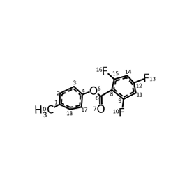 Cc1ccc(OC(=O)c2c(F)cc(F)cc2F)cc1